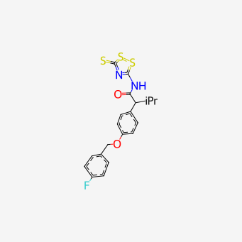 CC(C)C(C(=O)Nc1nc(=S)ss1)c1ccc(OCc2ccc(F)cc2)cc1